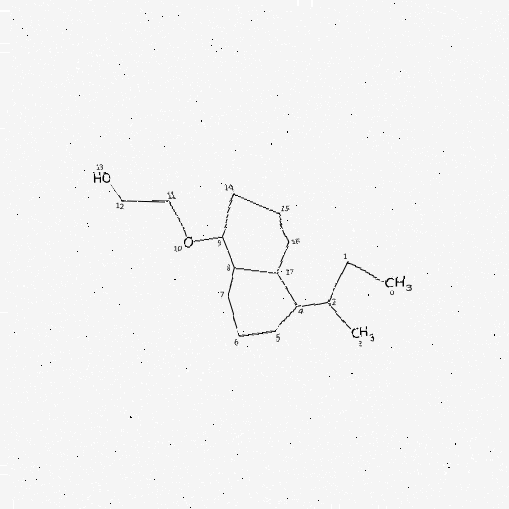 CCC(C)C1CCCC2C(OCCO)CCCC12